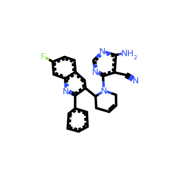 N#Cc1c(N)ncnc1N1CC=CCC1c1cc2ccc(F)cc2nc1-c1ccccc1